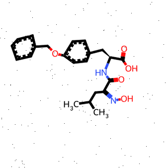 CC(C)C/C(=N/O)C(=O)N[C@@H](Cc1ccc(OCc2ccccc2)cc1)C(=O)O